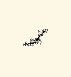 CC(C)C(=O)C(N)CCCCNC(=O)CCc1cn(C(C)(C)COC(C)(C)CCC(=O)NCCCCC(N)C(=O)C(C)C)nn1